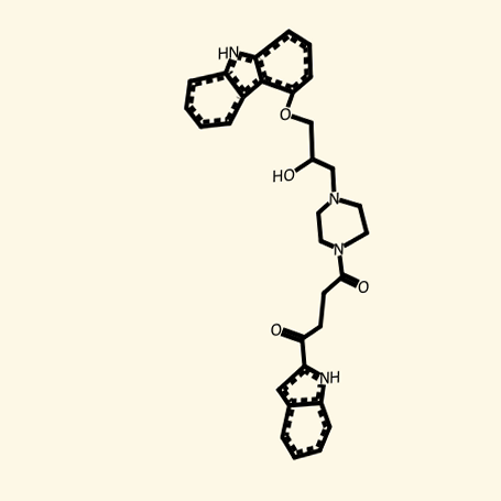 O=C(CCC(=O)N1CCN(CC(O)COc2cccc3[nH]c4ccccc4c23)CC1)c1cc2ccccc2[nH]1